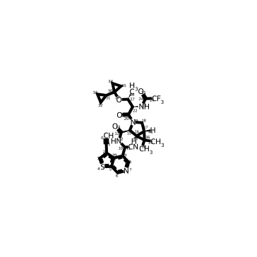 C#Cc1csc2cncc(C(C#N)NC(=O)[C@@H]3[C@@H]4[C@H](CN3C(=O)[C@@H](NC(=O)C(F)(F)F)[C@@H](C)OC3(C5CC5)CC3)C4(C)C)c12